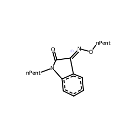 CCCCCO/N=C1/C(=O)N(CCCCC)c2ccccc21